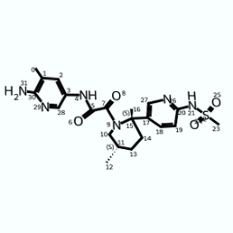 Cc1cc(NC(=O)C(=O)N2C[C@@H](C)CC[C@@]2(C)c2ccc(NS(C)(=O)=O)nc2)cnc1N